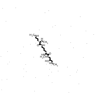 CNCCC[C@H](NC)C(=O)NCCCC[C@H](NC)C(=O)NCC(O)CNC